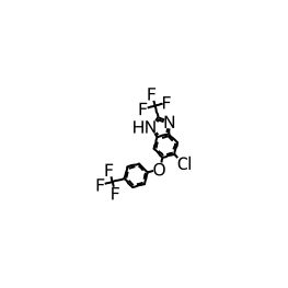 FC(F)(F)c1ccc(Oc2cc3[nH]c(C(F)(F)F)nc3cc2Cl)cc1